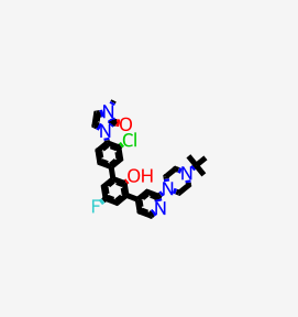 Cn1ccn(-c2ccc(-c3cc(F)cc(-c4ccnc(N5CCN(C(C)(C)C)CC5)c4)c3O)cc2Cl)c1=O